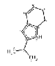 CC(C)c1cc2c([nH]1)CCC=C2